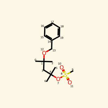 CC(C)(CC(C)(C)OS(C)(=O)=O)OCc1ccccc1